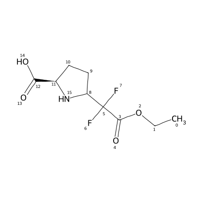 CCOC(=O)C(F)(F)C1CC[C@H](C(=O)O)N1